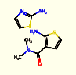 CN(C)C(=O)c1ccsc1N.Nc1nccs1